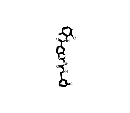 Cc1cccc(Cl)c1NC(=O)c1ccc2nc(NC(=O)NCc3cccc(Cl)c3)sc2c1